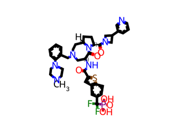 CN1CCN(c2ccccc2CN2CC[C@H]3CC[C@@H](C(=O)N4CC(c5cccnc5)C4)N3C(=O)[C@@H](NC(=O)c3cc4cc(C(F)(F)P(=O)(O)O)ccc4s3)C2)CC1